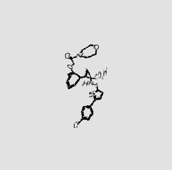 O=C(COc1ccccc1C1CC1(NSc1ccc(-c2ccc(Cl)cc2)s1)C(=O)O)N1CCOCC1